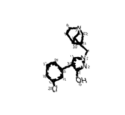 Oc1nn(CC2CN3CCC2CC3)cc1-c1cccc(Cl)c1